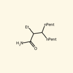 CCCCCC(CCCCC)C(CC)C(N)=O